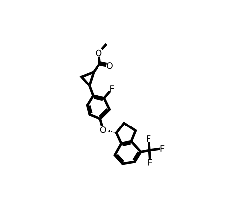 COC(=O)C1CC1c1ccc(O[C@@H]2CCc3c2cccc3C(F)(F)F)cc1F